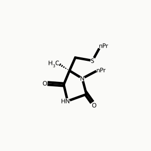 CCCSC[C@]1(C)C(=O)NC(=O)N1CCC